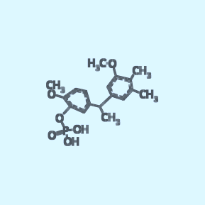 COc1ccc(C(C)c2cc(C)c(C)c(OC)c2)cc1OP(=O)(O)O